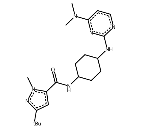 CN(C)c1ccnc(NC2CCC(NC(=O)c3cc(C(C)(C)C)nn3C)CC2)n1